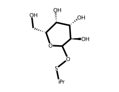 CC(C)SOC1O[C@H](CO)[C@H](O)[C@H](O)[C@H]1O